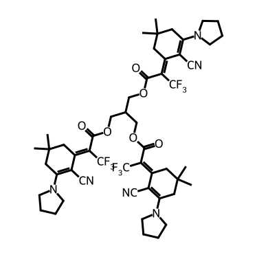 CC1(C)CC(N2CCCC2)=C(C#N)/C(=C(/C(=O)OCC(COC(=O)/C(=C2\CC(C)(C)CC(N3CCCC3)=C2C#N)C(F)(F)F)COC(=O)/C(=C2\CC(C)(C)CC(N3CCCC3)=C2C#N)C(F)(F)F)C(F)(F)F)C1